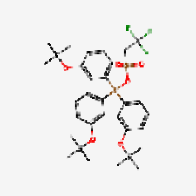 C[Si](C)(C)Oc1cccc(S(OS(=O)(=O)CC(F)(F)F)(c2cccc(O[Si](C)(C)C)c2)c2cccc(O[Si](C)(C)C)c2)c1